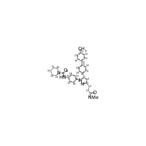 CNC(=O)CCc1cc(-c2ccc(-c3ccc(C)cc3)cc2)n(-c2ccc(NC(=O)N3CCCCC3)cc2)n1